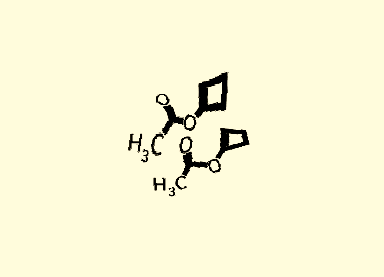 CC(=O)OC1=CCC1.CC(=O)OC1=CCC1